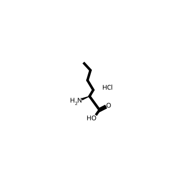 CCCC[C@H](N)C(=O)O.Cl